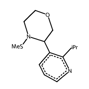 CSN1CCOCC1c1cccnc1C(C)C